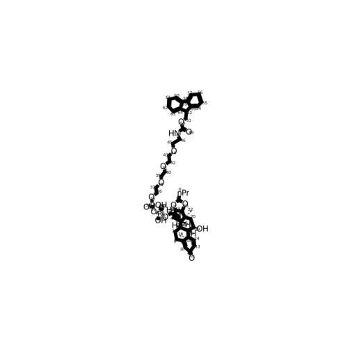 CCCC1O[C@@H]2C[C@H]3[C@@H]4CCC5=CC(=O)C=C[C@]5(C)[C@H]4[C@@H](O)C[C@]3(C)[C@]2(C(=O)COP(=O)(O)OP(=O)(O)OCCOCCOCCOCCNC(=O)OCC2c3ccccc3-c3ccccc32)O1